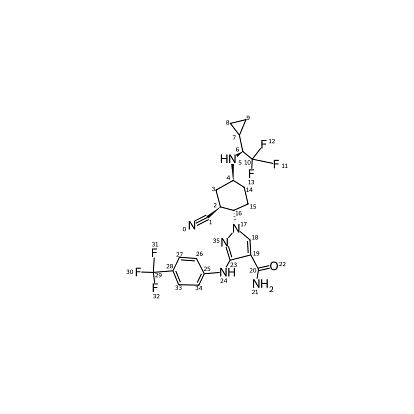 N#C[C@H]1C[C@@H](N[C@@H](C2CC2)C(F)(F)F)CC[C@@H]1n1cc(C(N)=O)c(Nc2ccc(C(F)(F)F)cc2)n1